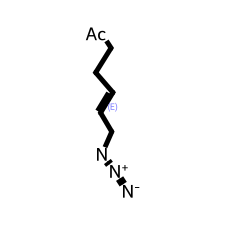 CC(=O)CC/C=C/CN=[N+]=[N-]